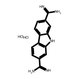 Cl.Cl.N=C(N)c1ccc2c(c1)[nH]c1cc(C(=N)N)ccc12